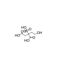 O=C(O)CC(CCO)(C(=O)O)S(=O)(=O)O